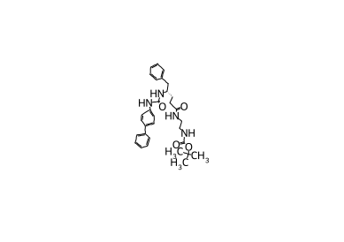 CC(C)(C)OC(=O)NCCNC(=O)CC[C@@H](Cc1ccccc1)NC(=O)Nc1ccc(-c2ccccc2)cc1